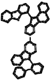 c1ccc(-c2ccccc2-n2c3ccccc3c3cc(-c4ccc5c(c4)c4ccc6ccccc6c4n5-c4cccc5c4sc4ccccc45)ccc32)cc1